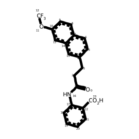 O=C(CCc1ccc2ccc(OC(F)(F)F)cc2c1)Nc1ccccc1C(=O)O